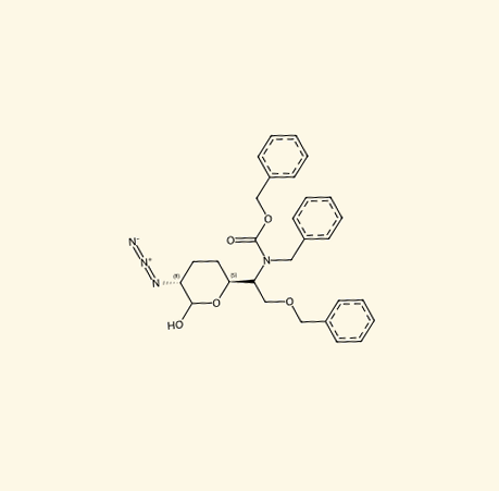 [N-]=[N+]=N[C@@H]1CC[C@@H](C(COCc2ccccc2)N(Cc2ccccc2)C(=O)OCc2ccccc2)OC1O